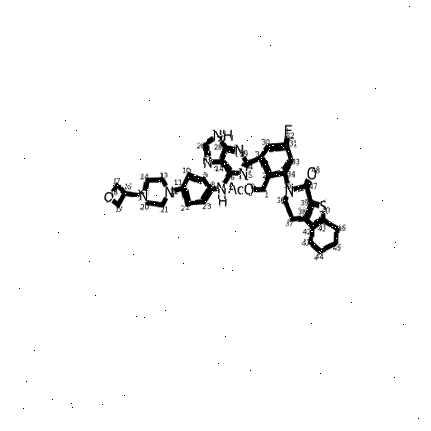 CC(=O)OCc1c(-c2nc(Nc3ccc(N4CCN(C5COC5)CC4)cc3)c3nc[nH]c3n2)cc(F)cc1N1CCc2c(sc3c2CCCC3)C1=O